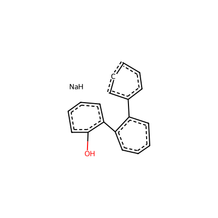 Oc1ccccc1-c1ccccc1-c1ccccc1.[NaH]